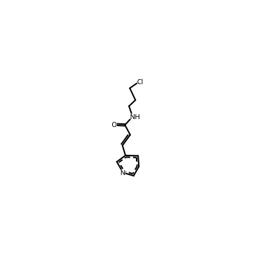 O=C(C=Cc1cccnc1)NCCCCl